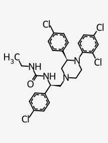 CCNC(=O)N[C@@H](CN1CCN(c2ccc(Cl)cc2Cl)[C@H](c2ccc(Cl)cc2)C1)c1ccc(Cl)cc1